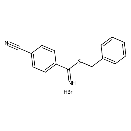 Br.N#Cc1ccc(C(=N)SCc2ccccc2)cc1